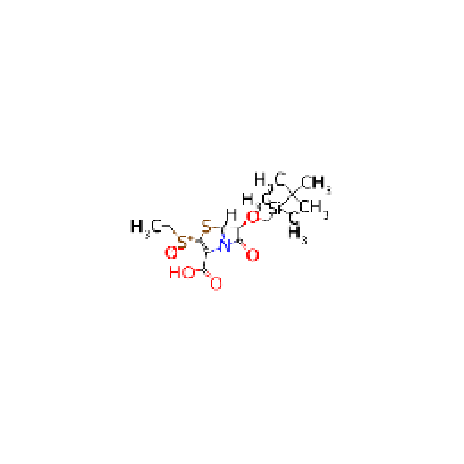 CC[S@@+]([O-])C1=C(C(=O)O)N2C(=O)[C@H](OC[Si](C)(C)C(C)(C)C)[C@H]2S1